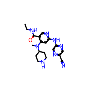 CCNC(=O)c1cnc(Nc2cnc(C#N)cn2)cc1N(C)C1CCNCC1